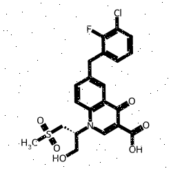 CS(=O)(=O)C[C@@H](CO)n1cc(C(=O)O)c(=O)c2cc(Cc3cccc(Cl)c3F)ccc21